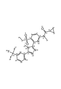 CCS(=O)(=O)c1ccc(N(C)C(=O)C2CC2)nc1-c1nnc(-c2cc(C(F)(F)F)ccn2)n1C